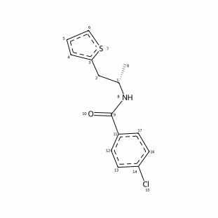 C[C@@H](Cc1cccs1)NC(=O)c1ccc(Cl)cc1